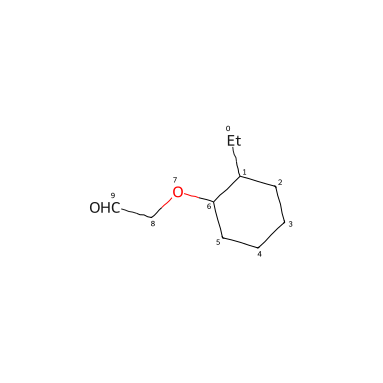 CCC1CCCCC1OCC=O